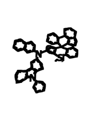 C[Si]1(C)c2ccccc2C2(c3ccccc3-c3cccc4cccc2c34)c2ccc(N(c3ccc4ccccc4c3)c3ccc4c(c3)c3ccccc3n4-c3ccccc3)cc21